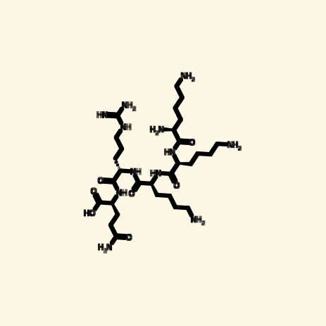 N=C(N)NCCC[C@H](NC(=O)[C@H](CCCCN)NC(=O)[C@H](CCCCN)NC(=O)[C@@H](N)CCCCN)C(=O)N[C@@H](CCC(N)=O)C(=O)O